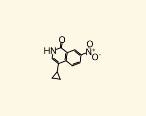 O=c1[nH]cc(C2CC2)c2ccc([N+](=O)[O-])cc12